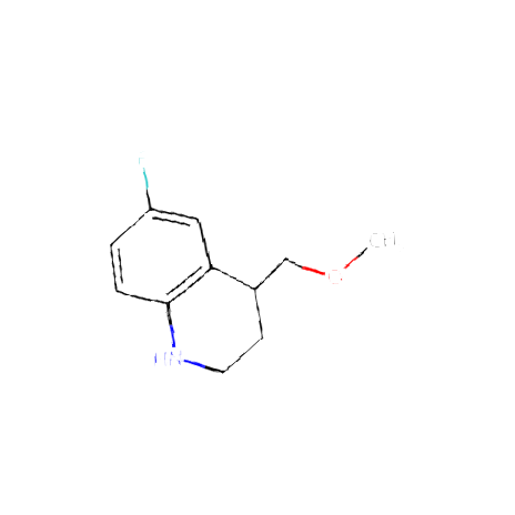 COCC1CCNc2ccc(F)cc21